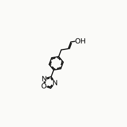 O/C=C/Cc1ccc(-c2ncon2)cc1